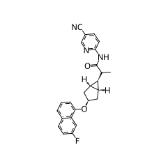 CC(C(=O)Nc1ccc(C#N)cn1)[C@H]1[C@@H]2C[C@@H](Oc3cccc4ccc(F)cc34)C[C@@H]21